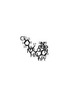 CCCC(NC(=O)c1cnn(-c2ccc(Cl)cc2)c1C)c1ccnc(S(=O)(=O)N(C)C)c1